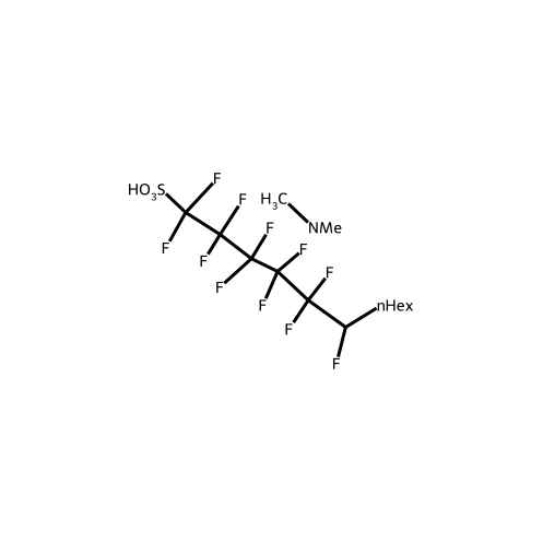 CCCCCCC(F)C(F)(F)C(F)(F)C(F)(F)C(F)(F)C(F)(F)S(=O)(=O)O.CNC